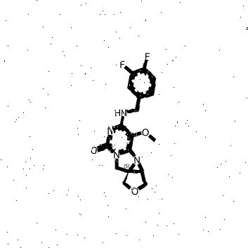 COc1c(NCc2ccc(F)c(F)c2)nc(=O)n2c1N1C3COC[C@]31C2